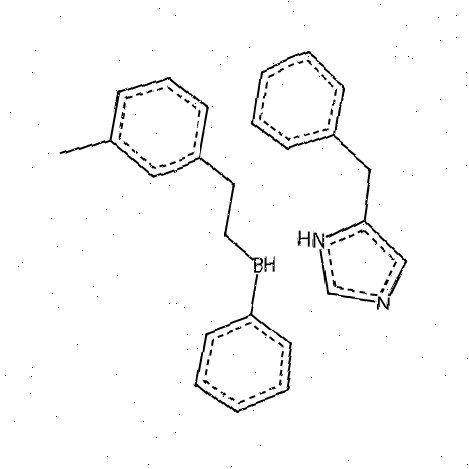 Cc1cccc(CCBc2ccccc2)c1.c1ccc(Cc2cnc[nH]2)cc1